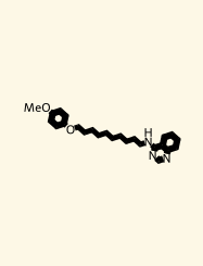 COc1ccc(OCCCCCCCCCCNc2ncnc3ccccc23)cc1